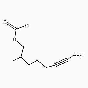 CC(CCCC#CC(=O)O)COC(=O)Cl